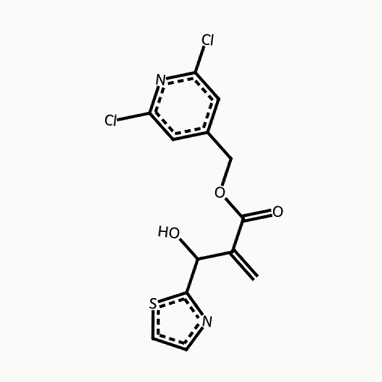 C=C(C(=O)OCc1cc(Cl)nc(Cl)c1)C(O)c1nccs1